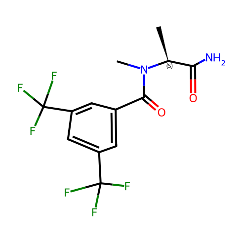 C[C@@H](C(N)=O)N(C)C(=O)c1cc(C(F)(F)F)cc(C(F)(F)F)c1